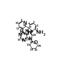 NC1=CC=CC(N)(c2ncccc2-c2ncnc3c2ncn3C2CCCCO2)C1